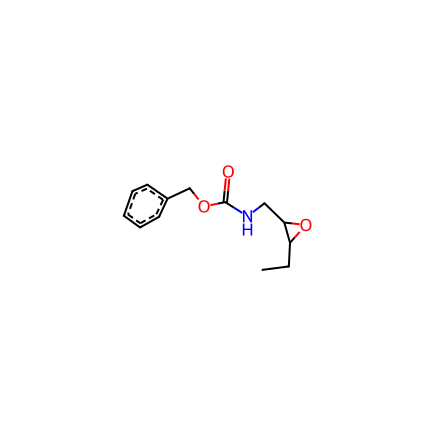 CCC1OC1CNC(=O)OCc1ccccc1